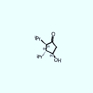 CC(C)[C@H]1[C@H](O)CC(=O)[C@@H]1C(C)C